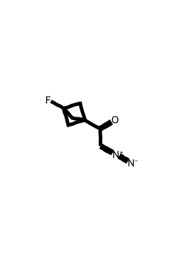 [N-]=[N+]=CC(=O)C12CC(F)(C1)C2